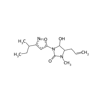 C=CCC1C(O)N(c2cc(C(C)CC)no2)C(=O)N1C